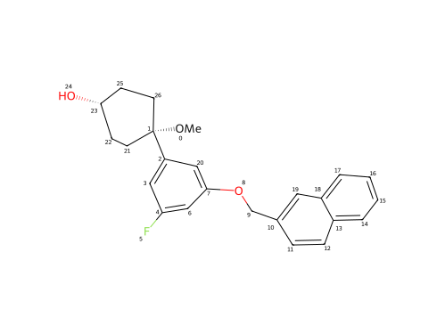 CO[C@]1(c2cc(F)cc(OCc3ccc4ccccc4c3)c2)CC[C@H](O)CC1